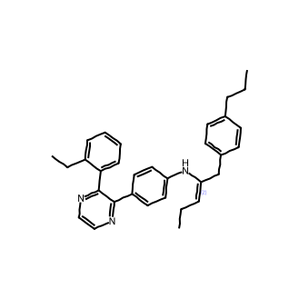 CC/C=C(/Cc1ccc(CCC)cc1)Nc1ccc(-c2nccnc2-c2ccccc2CC)cc1